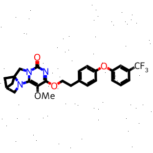 COc1c(OCCc2ccc(Oc3cccc(C(F)(F)F)c3)cc2)nc(=O)n2c1N1CC3CC1(C3)C2